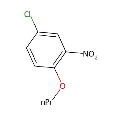 C[CH]COc1ccc(Cl)cc1[N+](=O)[O-]